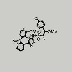 COc1ncnc(OC)c1-n1c(NS(=O)(=O)[C@@H](C)[C@H](OC)c2ccc(Cl)cn2)nnc1-c1cccnc1